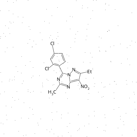 CCc1nn2c(-c3ccc(Cl)cc3Cl)nc(C)nc2c1[N+](=O)[O-]